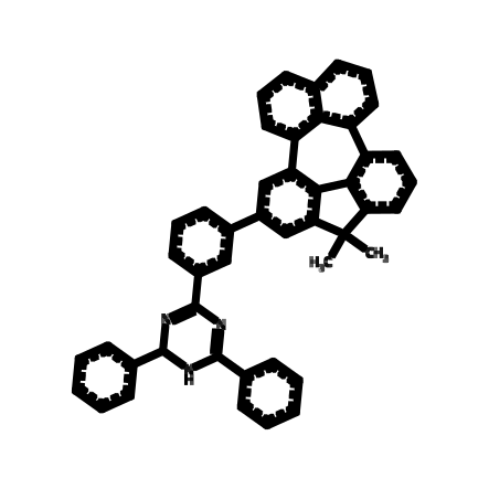 CC1(C)c2cccc3c2-c2c(cc(-c4cccc(C5=NC(c6ccccc6)NC(c6ccccc6)=N5)c4)cc21)-c1cccc2cccc-3c12